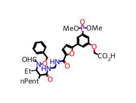 CCCCCC(C(=O)NCNC(=O)c1ccc(-c2cc(OCC(=O)O)cc(P(=O)(OC)OC)c2)o1)[C@@H](CC)N(C=O)OCc1ccccc1